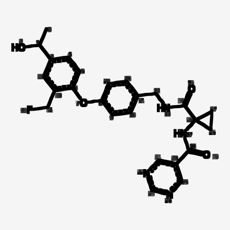 CC(O)c1ccc(Oc2ccc(CNC(=O)C3(NC(=O)c4cncnc4)CC3)cc2)c(CF)c1